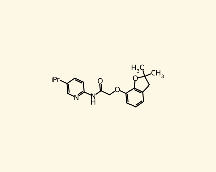 CC(C)c1ccc(NC(=O)COc2cccc3c2OC(C)(C)C3)nc1